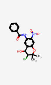 CC1(C)Oc2cc([N+](=O)[O-])c(NC(=O)c3ccccc3)cc2C(O)C1Br